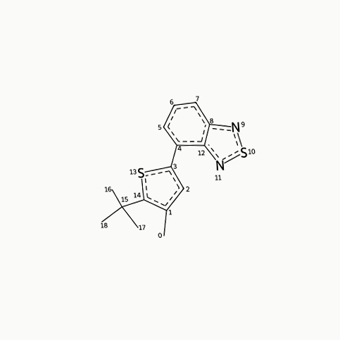 Cc1cc(-c2cccc3nsnc23)sc1C(C)(C)C